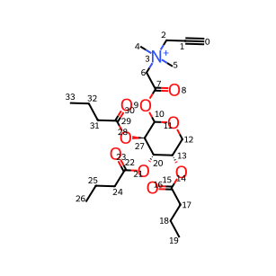 C#CC[N+](C)(C)CC(=O)OC1OC[C@H](OC(=O)CCC)[C@H](OC(=O)CCC)[C@H]1OC(=O)CCC